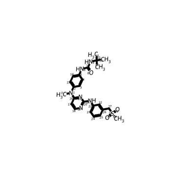 CN(c1ccc(NC(=O)NC(C)(C)C)cc1)c1ccnc(Nc2cccc(CS(C)(=O)=O)c2)n1